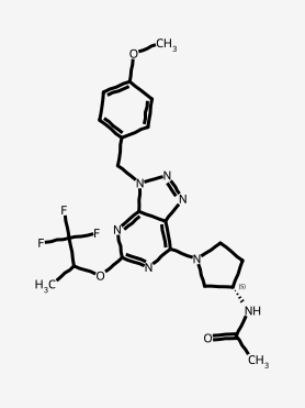 COc1ccc(Cn2nnc3c(N4CC[C@H](NC(C)=O)C4)nc(OC(C)C(F)(F)F)nc32)cc1